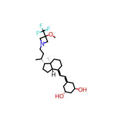 COC1(C(F)(F)F)CN(CCC(C)[C@H]2CC[C@H]3C(=CC=C4C[C@@H](O)C[C@H](O)C4)CCC[C@]23C)C1